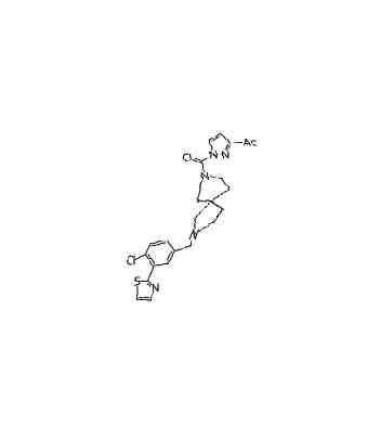 CC(=O)c1ccn(C(=O)N2CCC3(CCN(Cc4ccc(Cl)c(-c5nccs5)c4)C3)CC2)n1